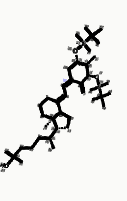 C=C1/C(=C\C=C2CCC[C@@]3(C)C2CC[C@@H]3[C@@H](C)CCCC(C)(C)O)C[C@H](O[Si](C)(C)C(C)(C)C)[C@@H](C)[C@H]1O[Si](C)(C)C(C)(C)C